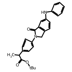 CC(C(=O)OC(C)(C)C)c1ccc(N2Cc3ccc(Nc4ccccc4)cc3C2=O)cc1